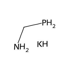 NCP.[KH]